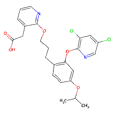 CC(C)Oc1ccc(CCCOc2ncccc2CC(=O)O)c(Oc2ncc(Cl)cc2Cl)c1